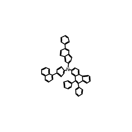 c1ccc(-c2ccc3cc(N(c4ccc(-c5cccc6ccccc56)cc4)c4ccc5c(c4)c(-c4ccccc4)c(-c4ccccc4)c4ccccc45)ccc3c2)cc1